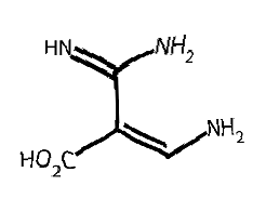 N=C(N)/C(=C\N)C(=O)O